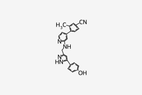 Cc1cc(C#N)ccc1-c1ccnc(NCc2cc(-c3ccc(O)cc3)[nH]n2)c1